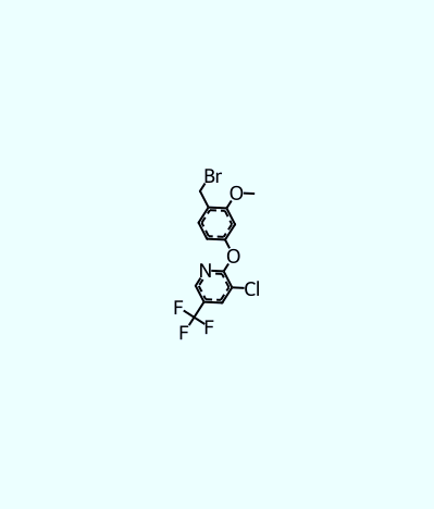 COc1cc(Oc2ncc(C(F)(F)F)cc2Cl)ccc1CBr